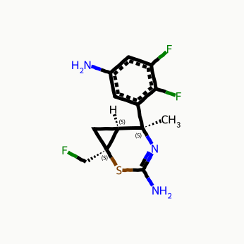 C[C@]1(c2cc(N)cc(F)c2F)N=C(N)S[C@@]2(CF)C[C@H]21